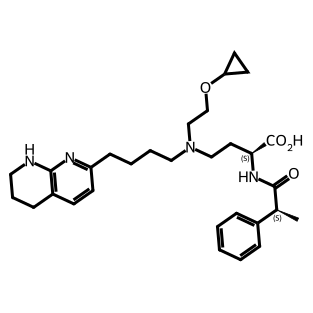 C[C@H](C(=O)N[C@@H](CCN(CCCCc1ccc2c(n1)NCCC2)CCOC1CC1)C(=O)O)c1ccccc1